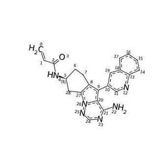 C=CC(=O)N[C@H]1CCc2c(-c3cnc4ccccc4c3)c3c(N)ncnn3c2C1